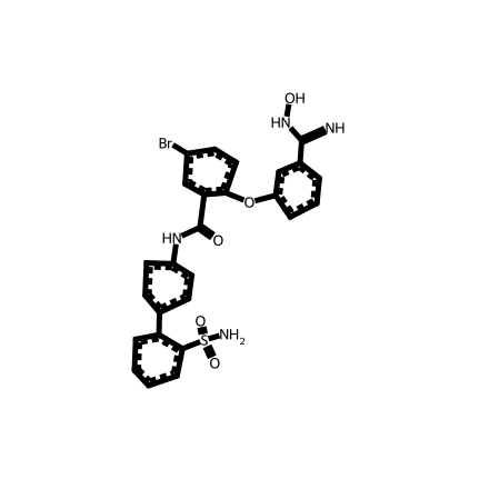 N=C(NO)c1cccc(Oc2ccc(Br)cc2C(=O)Nc2ccc(-c3ccccc3S(N)(=O)=O)cc2)c1